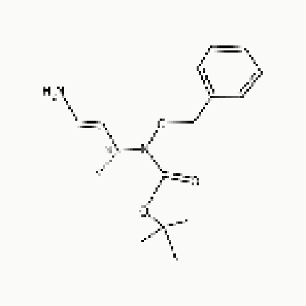 C[C@H](C=CN)N(OCc1ccccc1)C(=O)OC(C)(C)C